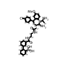 COc1ccc2c(c1)C(c1ccc(Cl)cc1)=N[C@@H](CC(=O)NCCNC(=O)c1cccc(-c3ccccc3B(O)O)c1)C(N)N2C(C)N